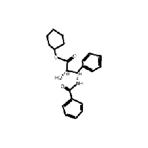 O=C(N[C@@H](c1ccccc1)[C@H](O)C(=O)OC1CCCCC1)c1ccccc1